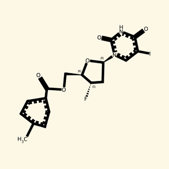 Cc1ccc(C(=O)OC[C@H]2O[C@@H](n3cc(I)c(=O)[nH]c3=O)C[C@@H]2F)cc1